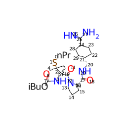 CCCSC(C)(C)[C@@H](NC(=O)OCC(C)C)C(=O)N1CCC[C@H]1C(=O)NC[C@H]1CC[C@H](C(=N)N)CC1